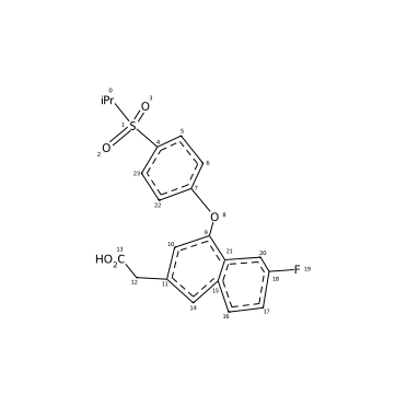 CC(C)S(=O)(=O)c1ccc(Oc2cc(CC(=O)O)cc3ccc(F)cc23)cc1